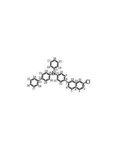 Clc1ccc2ccc(-c3ccc(N(c4ccccc4)c4ccc(-c5ccccc5)cc4)cc3)cc2c1